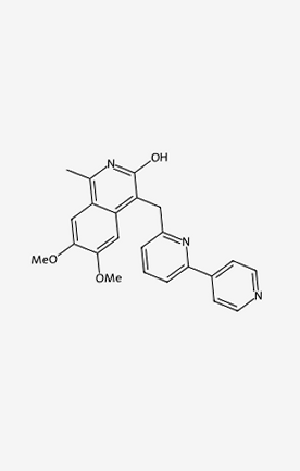 COc1cc2c(C)nc(O)c(Cc3cccc(-c4ccncc4)n3)c2cc1OC